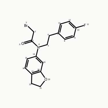 O=C(CBr)N(CCc1ccc(F)cc1)c1ccc2c(c1)OCC2